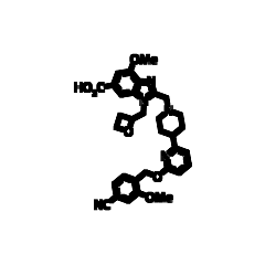 COc1cc(C#N)ccc1COc1cccc(C2CCN(Cc3nc4c(OC)cc(C(=O)O)cc4n3CC3CCO3)CC2)n1